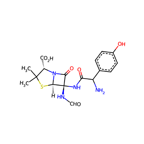 CC1(C)S[C@H]2N(C(=O)[C@]2(NC=O)NC(=O)C(N)c2ccc(O)cc2)[C@H]1C(=O)O